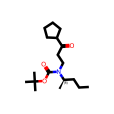 CCC[C@@H](C)N(CCC(=O)C1CCCC1)C(=O)OC(C)(C)C